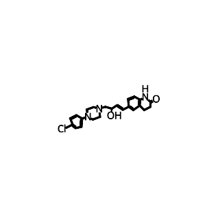 O=C1CCc2cc(/C=C/[C@@H](O)CN3CCN(c4ccc(Cl)cc4)CC3)ccc2N1